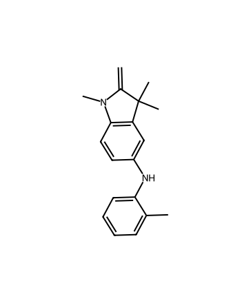 C=C1N(C)c2ccc(Nc3ccccc3C)cc2C1(C)C